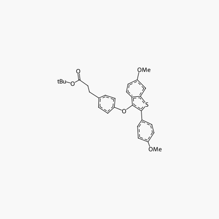 COc1ccc(-c2sc3cc(OC)ccc3c2Oc2ccc(CCC(=O)OC(C)(C)C)cc2)cc1